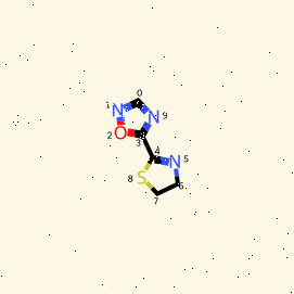 c1noc(C2=NCCS2)n1